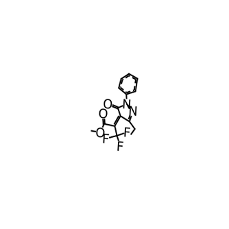 CCC1=NN(c2ccccc2)C(=O)C1=C(C(=O)OC)C(F)(F)F